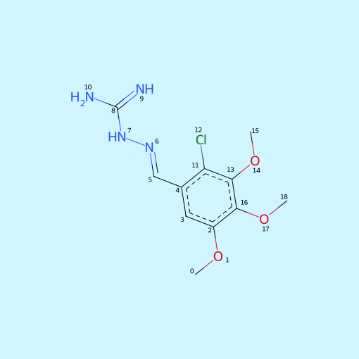 COc1cc(C=NNC(=N)N)c(Cl)c(OC)c1OC